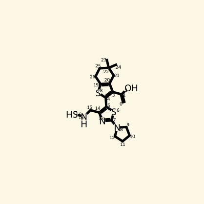 C=C(O)c1c(-c2sc(N3CCCC3)nc2CNS)sc2c1CC(C)(C)CC2